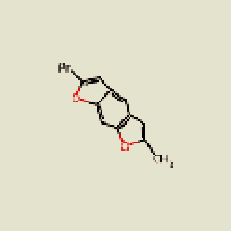 Cc1cc2cc3cc(C(C)C)oc3cc2o1